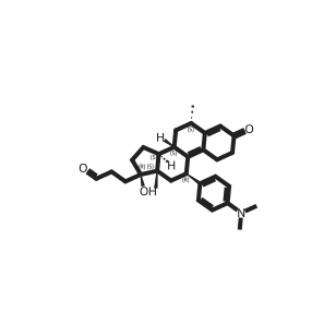 C[C@H]1C[C@@H]2C(=C3CCC(=O)C=C31)[C@@H](c1ccc(N(C)C)cc1)C[C@@]1(C)[C@H]2CC[C@@]1(O)CCC=O